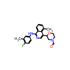 Cc1cc(Nc2ncc(C3CN(C=O)CCO3)c3c(C)cccc23)ccc1F